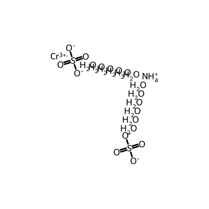 O.O.O.O.O.O.O.O.O.O.O.O.O=S(=O)([O-])[O-].O=S(=O)([O-])[O-].[Cr+3].[NH4+]